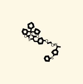 CC(=NOCCOc1ccc(CC2SC(=O)N(C(c3ccccc3)(c3ccccc3)c3ccccc3)C2=O)cc1)c1ccc(Sc2ccccc2)cc1